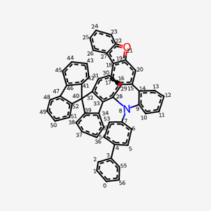 c1ccc(-c2ccc(N(c3ccccc3-c3ccc4c(c3)oc3ccccc34)c3cccc4c3-c3ccccc3C43c4ccccc4-c4ccccc43)cc2)cc1